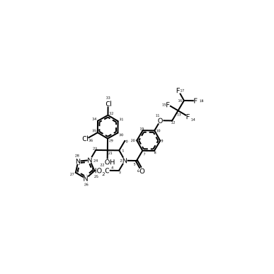 CC(N(CC(=O)O)C(=O)c1ccc(OCC(F)(F)C(F)F)cc1)C(O)(Cn1cncn1)c1ccc(Cl)cc1Cl